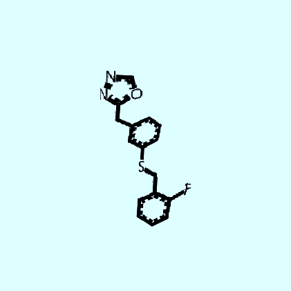 Fc1ccccc1CSc1cccc(Cc2nnco2)c1